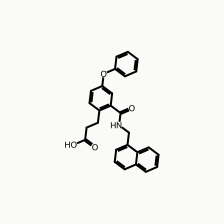 O=C(O)CCc1ccc(Oc2ccccc2)cc1C(=O)NCc1cccc2ccccc12